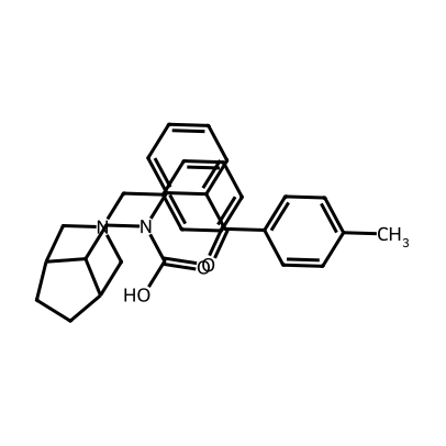 Cc1ccc(C(=O)c2ccccc2N(CC2C3CCC2CN(Cc2ccccc2)C3)C(=O)O)cc1